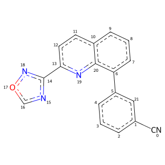 N#Cc1cccc(-c2cccc3ccc(-c4ncon4)nc23)c1